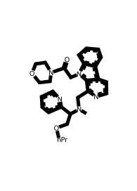 CCCOCC(c1ccccn1)N(C)Cc1nccc2c3ccccc3n(CC(=O)N3CCOCC3)c12